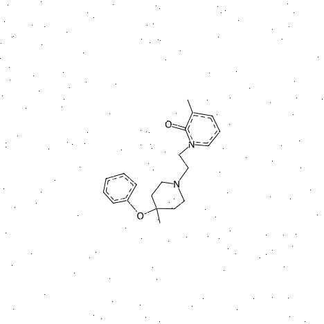 Cc1cccn(CCN2CCC(C)(Oc3ccccc3)CC2)c1=O